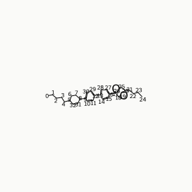 CCCCCC1CCC(c2ccc(-c3ccc(C4COC(CCCC)CO4)cc3)cc2)CC1